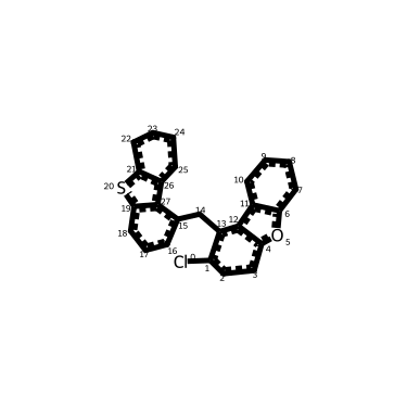 Clc1ccc2oc3ccccc3c2c1Cc1cccc2sc3ccccc3c12